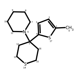 Cc1ccc(C2(N3CCCCC3)CCSCC2)s1